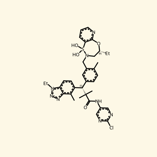 CC[C@@H]1CN(Cc2cc([C@@H](c3ccc4c(nnn4CC)c3C)C(C)(C)C(=O)Nc3cnc(Cl)nc3)ccc2C)S(O)(O)c2cccnc2O1